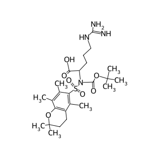 Cc1c(C)c(S(=O)(=O)N(C(=O)OC(C)(C)C)C(CCCNC(=N)N)C(=O)O)c(C)c2c1OC(C)(C)CC2